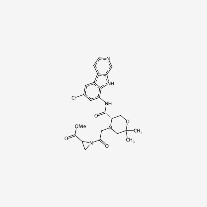 COC(=O)C1CN1C(=O)CN1CC(C)(C)OC[C@H]1C(=O)Nc1cc(Cl)cc2c1[nH]c1cnccc12